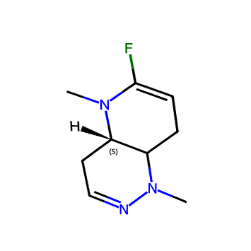 CN1N=CC[C@H]2C1CC=C(F)N2C